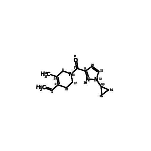 C=CC1=C(C)CN(C(=O)c2ccn(C3CC3)n2)CC1